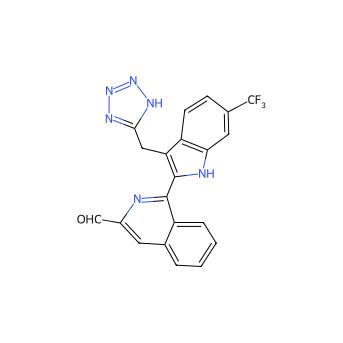 O=Cc1cc2ccccc2c(-c2[nH]c3cc(C(F)(F)F)ccc3c2Cc2nnn[nH]2)n1